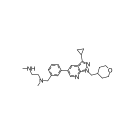 CNCCN(C)Cc1cccc(-c2cnc3c(c2)c(C2CC2)nn3CC2CCOCC2)c1